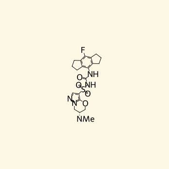 CN[C@H]1COc2c(S(=O)(=O)NC(=O)Nc3c4c(c(F)c5c3CCC5)CCC4)cnn2C1